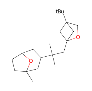 CC12CCC(CC(C(C)(C)CC34CC(C(C)(C)C)(CO3)C4)C1)O2